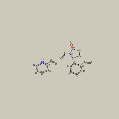 C=CN1CCCC1=O.C=Cc1ccccc1.C=Cc1ccccn1